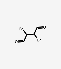 O=CC(Br)C(Br)C=O